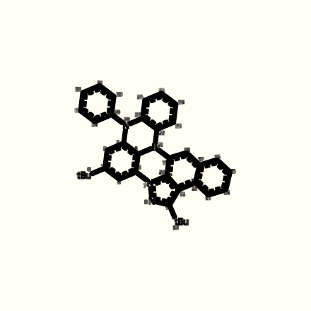 CC(C)(C)c1cc2c3c(c1)-n1nc(C(C)(C)C)c4c5ccccc5cc(c41)B3c1ccccc1N2c1ccccc1